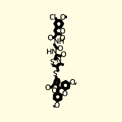 COc1ccc2c(c1)Oc1cc(OC)ccc1C21OC(=O)c2cc(SCC3=C(C)N4C(=O)C(NC(=O)CNC(=O)c5cc6cc(Cl)c(OC)cc6oc5=O)C4SC3)ccc21